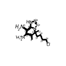 CC1=C(N)C(N)=C2NN=NN2C1(C)CCCCCl